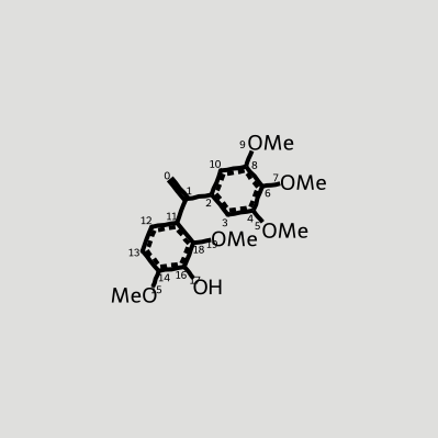 C=C(c1cc(OC)c(OC)c(OC)c1)c1ccc(OC)c(O)c1OC